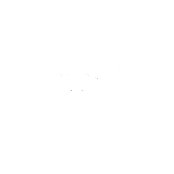 C[C@]12COC/C(=C\c3ccc(Cl)s3)C1N(c1ccc(Cl)cc1Cl)N=C2C(=O)NN1CCCCC1